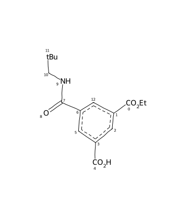 CCOC(=O)c1cc(C(=O)O)cc(C(=O)NCC(C)(C)C)c1